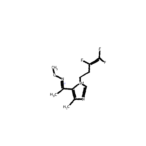 CO/N=C(\C)C1=C(C)N=C[SH]1CCC(F)=C(F)F